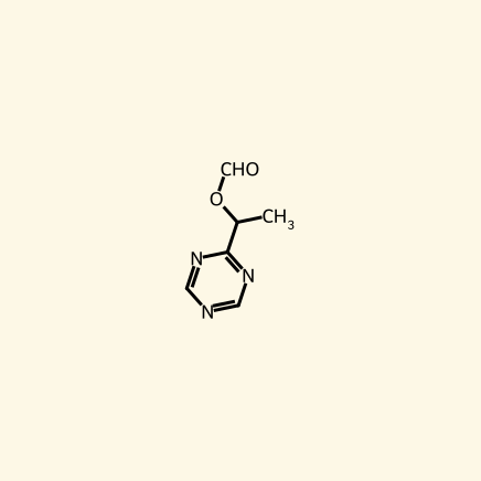 CC(OC=O)c1ncncn1